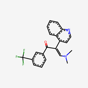 CN(C)C=C(C(=O)c1cccc(C(F)(F)F)c1)c1ccnc2ccccc12